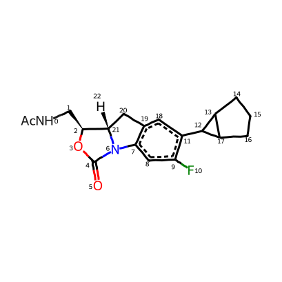 CC(=O)NC[C@@H]1OC(=O)N2c3cc(F)c(C4C5CCCC54)cc3C[C@@H]12